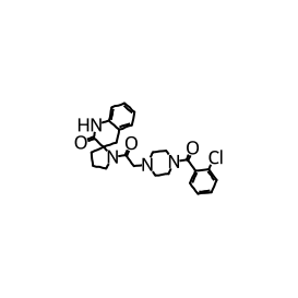 O=C(c1ccccc1Cl)N1CCN(CC(=O)N2CCCC23Cc2ccccc2NC3=O)CC1